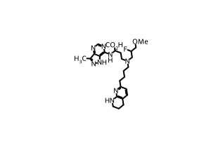 COCC(F)CN(CCCCc1ccc2c(n1)NCCC2)CCC(Nc1ncnc2c(C)n[nH]c12)C(=O)O